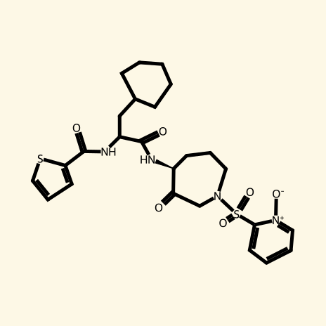 O=C(NC(CC1CCCCC1)C(=O)N[C@H]1CCCN(S(=O)(=O)c2cccc[n+]2[O-])CC1=O)c1cccs1